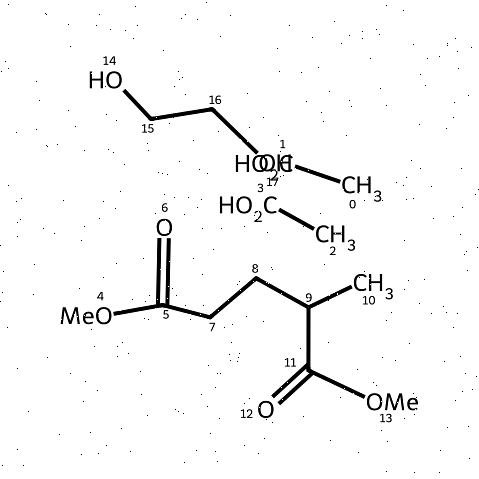 CC(=O)O.CC(=O)O.COC(=O)CCC(C)C(=O)OC.OCCO